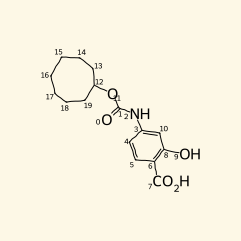 O=C(Nc1ccc(C(=O)O)c(O)c1)OC1CCCCCCC1